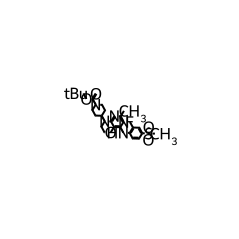 Cc1nc(Nc2ccc(S(C)(=O)=O)cc2F)c2c(n1)N(C1CCN(C(=O)OC(C)(C)C)CC1)CCO2